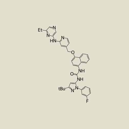 CCc1cncc(Nc2cc(COc3ccc(NC(=O)Nc4cc(C(C)(C)C)nn4-c4cccc(F)c4)c4ccccc34)ccn2)n1